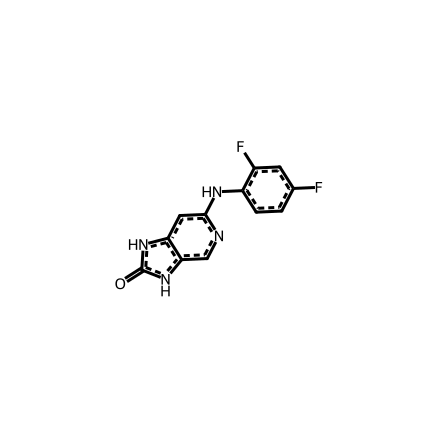 O=c1[nH]c2cnc(Nc3ccc(F)cc3F)cc2[nH]1